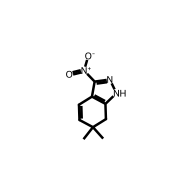 CC1(C)C=Cc2c([N+](=O)[O-])n[nH]c2C1